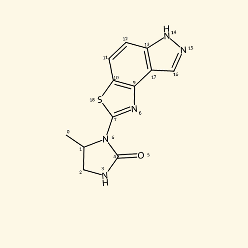 CC1CNC(=O)N1c1nc2c(ccc3[nH]ncc32)s1